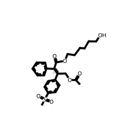 CC(=O)OC/C(=C(\C(=O)OCCCCCCO)c1ccccc1)c1ccc(S(C)(=O)=O)cc1